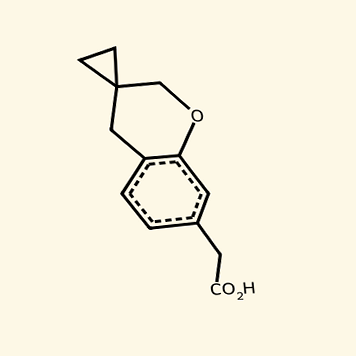 O=C(O)Cc1ccc2c(c1)OCC1(CC1)C2